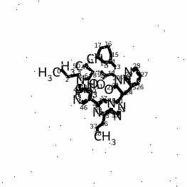 CCCCN(C)C(=O)[C@@H](C[C@H](O)[C@H](CC1CCCCC1)NC(=O)C(Cc1cccnc1)c1nnc2c(CCC)nc(-c3cccnc3)cn12)C(C)C